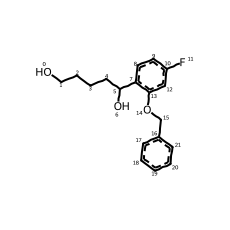 OCCCCC(O)c1ccc(F)cc1OCc1ccccc1